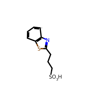 O=S(=O)(O)CCCc1nc2[c]cccc2s1